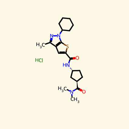 Cc1nn(C2CCCCC2)c2sc(C(=O)N[C@@H]3CC[C@@H](C(=O)N(C)C)C3)cc12.Cl